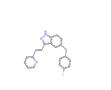 Fc1ccc(Cc2ccc3[nH]nc(C=Cc4ccccn4)c3c2)cc1